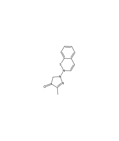 CC1=NN(N2C=Cc3ccccc3S2)CC1=O